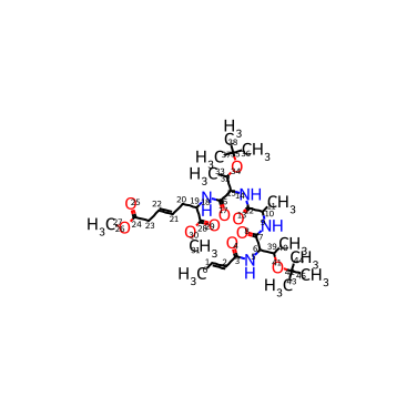 C/C=C/C(=O)NC(C(=O)NC(C)C(=O)NC(C(=O)NC(C/C=C/CC(=O)OC)C(=O)OC)C(C)OC(C)(C)C)C(C)OC(C)(C)C